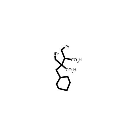 CC(C)CC(C(=O)O)C(CC(C)C)(CC1CCCCC1)C(=O)O